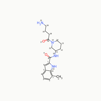 Cc1cccc2cc(C(=O)NC3CCCN(C(=O)CCCN)C3)[nH]c12